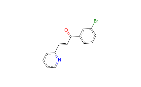 O=C(C=Cc1ccccn1)c1cccc(Br)c1